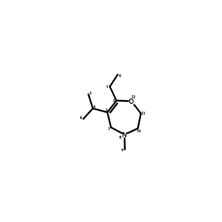 CCC1=C(C(C)C)CN(C)CCO1